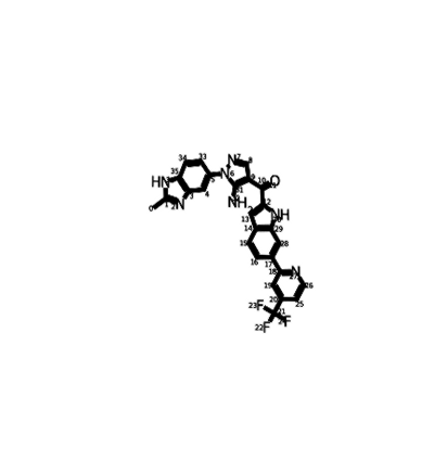 Cc1nc2cc(-n3ncc(C(=O)c4cc5ccc(-c6cc(C(F)(F)F)ccn6)cc5[nH]4)c3N)ccc2[nH]1